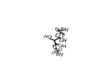 O=S(=O)(O)OC(O)C(CO)C(O)OS(=O)(=O)O